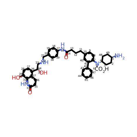 N[C@H]1CC[C@H](N(C(=O)O)c2ccc(CCCC(=O)Nc3ccc(CNC[C@H](O)c4ccc(O)c5[nH]c(=O)ccc45)cc3)cc2-c2ccccc2)CC1